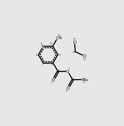 CC(C)(C)C(=O)OC(=O)c1ccnc(C#N)c1.ClCCl